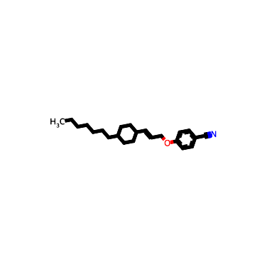 CCCCCCCC1CCC(C=CCOc2ccc(C#N)cc2)CC1